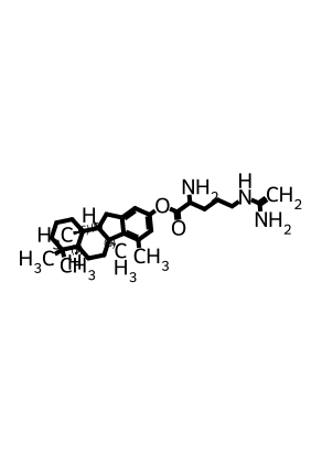 C=C(N)NCCCC(N)C(=O)Oc1cc(C)c2c(c1)C[C@@H]1[C@@]3(C)CCCC(C)(C)[C@@H]3CC[C@]21C